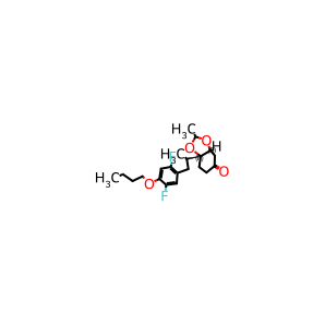 CCCCOc1cc(F)c(CC(C)[C@]23CCC(=O)C[C@H]2OC(C)O3)cc1F